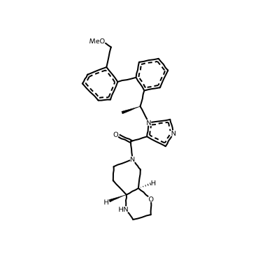 COCc1ccccc1-c1ccccc1[C@H](C)n1cncc1C(=O)N1CC[C@H]2NCCO[C@@H]2C1